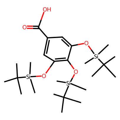 CC(C)(C)[Si](C)(C)Oc1cc(C(=O)O)cc(O[Si](C)(C)C(C)(C)C)c1O[Si](C)(C)C(C)(C)C